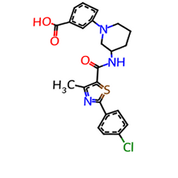 Cc1nc(-c2ccc(Cl)cc2)sc1C(=O)NC1CCCN(c2cccc(C(=O)O)c2)C1